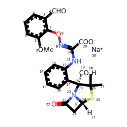 COc1cccc(C=O)c1ON=C(Nc1ccccc1[C@]1(C(=O)O)N2C(=O)C[C@H]2SC1(C)C)C(=O)[O-].[Na+]